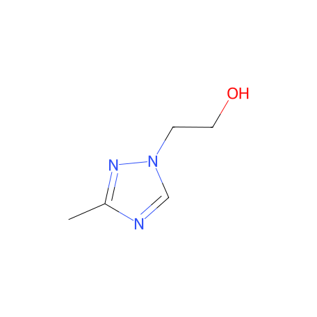 Cc1ncn(CCO)n1